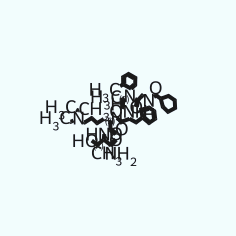 CCN(CCCC[C@H](NC(=O)C(Cc1ccccc1)NC(=O)[C@H](C)N(C(=O)CNC(=O)C1CCCCC1)c1ccccc1C)C(=O)NC(C(N)=O)[C@@H](C)O)C(C)C